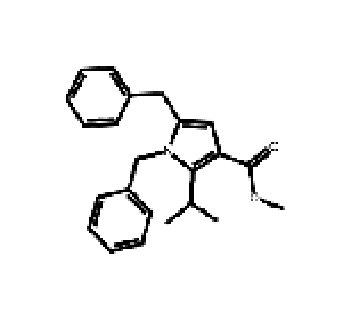 COC(=O)c1cc(Cc2ccccc2)n(Cc2ccccc2)c1C(C)C